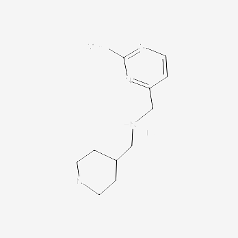 COc1nccc(CNCC2CCNCC2)n1.Cl